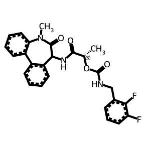 C[C@H](OC(=O)NCc1cccc(F)c1F)C(=O)NC1C(=O)N(C)c2ccccc2-c2ccccc21